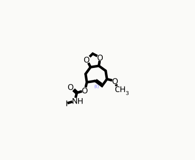 COC1/C=C/C(OC(=O)NI)CC2OCOC2C1